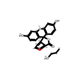 O=C1OC2(c3ccc(O)cc3Oc3cc(O)ccc32)c2ccccc21.[CH2]CCO